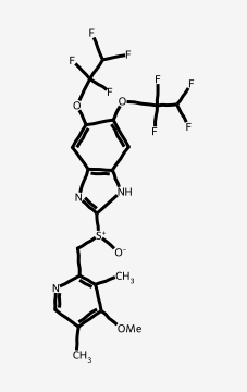 COc1c(C)cnc(C[S+]([O-])c2nc3cc(OC(F)(F)C(F)F)c(OC(F)(F)C(F)F)cc3[nH]2)c1C